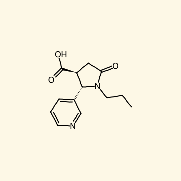 CCCN1C(=O)C[C@H](C(=O)O)[C@H]1c1cccnc1